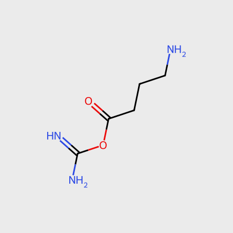 N=C(N)OC(=O)CCCN